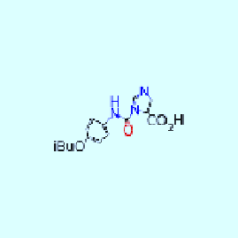 CC(C)COc1ccc(NC(=O)n2cncc2C(=O)O)cc1